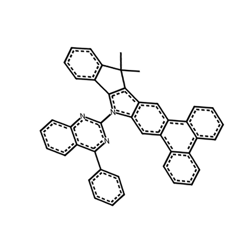 CC1(C)c2ccccc2-c2c1c1cc3c4ccccc4c4ccccc4c3cc1n2-c1nc(-c2ccccc2)c2ccccc2n1